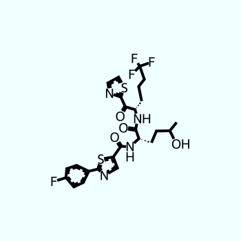 CC(O)CC[C@H](NC(=O)c1cnc(-c2ccc(F)cc2)s1)C(=O)N[C@@H](CCCC(F)(F)F)C(=O)c1nccs1